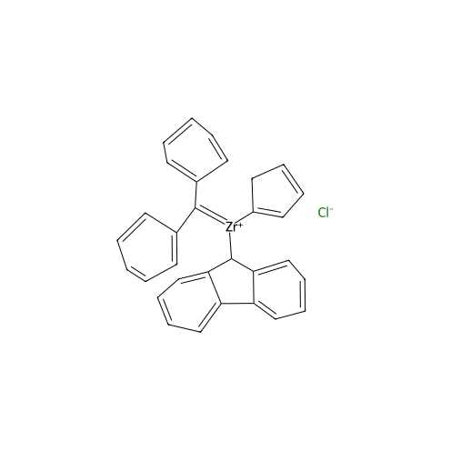 C1=CC[C]([Zr+](=[C](c2ccccc2)c2ccccc2)[CH]2c3ccccc3-c3ccccc32)=C1.[Cl-]